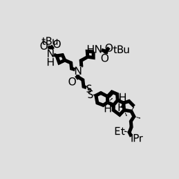 CC[C@H](CC[C@@H](C)[C@H]1CC[C@H]2[C@@H]3CC=C4C[C@@H](SSCCC(=O)N(CCC5CC(NC(=O)OC(C)(C)C)C5)CCC5CC(NC(=O)OC(C)(C)C)C5)CC[C@]4(C)[C@H]3CC[C@]12C)C(C)C